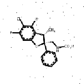 C[C@H]1c2c(cc(F)c(Cl)c2Br)O[C@]1(CNC(=O)O)c1ccccc1